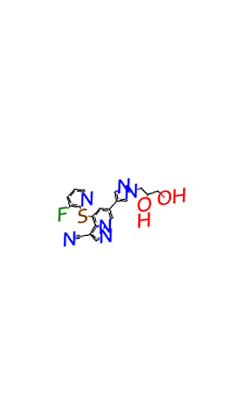 N#Cc1cnn2cc(-c3cnn(C[C@H](O)CO)c3)cc(Sc3ncccc3F)c12